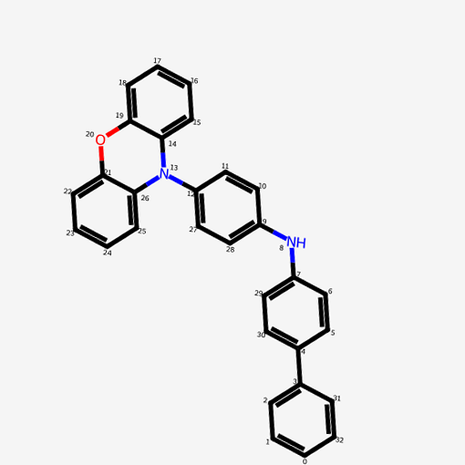 c1ccc(-c2ccc(Nc3ccc(N4c5ccccc5Oc5ccccc54)cc3)cc2)cc1